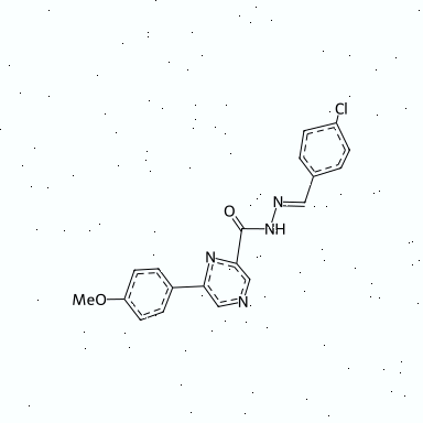 COc1ccc(-c2cncc(C(=O)NN=Cc3ccc(Cl)cc3)n2)cc1